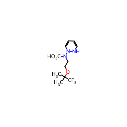 CC(C)(OCCN(C(=O)O)N1C=CC=CN1)C(F)(F)F